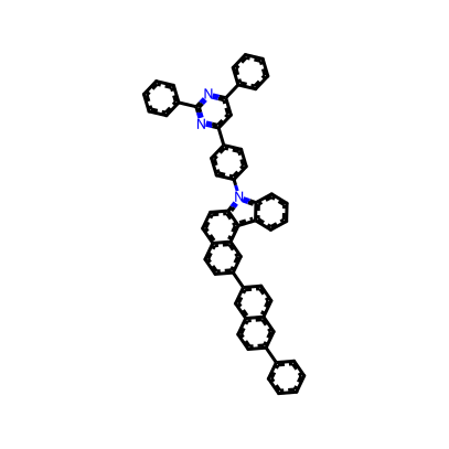 c1ccc(-c2ccc3cc(-c4ccc5ccc6c(c5c4)c4ccccc4n6-c4ccc(-c5cc(-c6ccccc6)nc(-c6ccccc6)n5)cc4)ccc3c2)cc1